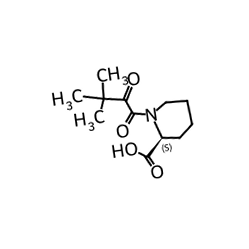 CC(C)(C)C(=O)C(=O)N1CCCC[C@H]1C(=O)O